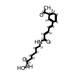 CC(=O)c1cccc(/C=C/C=C/C(=O)NCCCCCC(=O)NO)c1